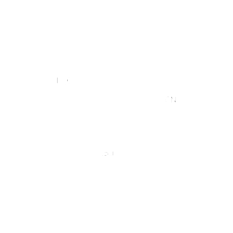 Cc1cc(CC#N)cc(C(C)(C)C)c1